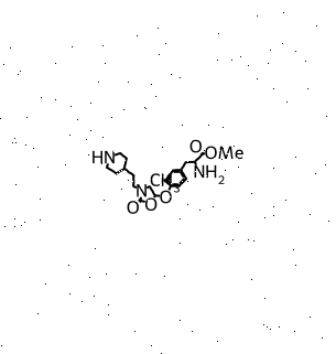 COC(=O)C(N)Cc1ccc(OC2OC(=O)N(CCC3CCNCC3)C2C)cc1